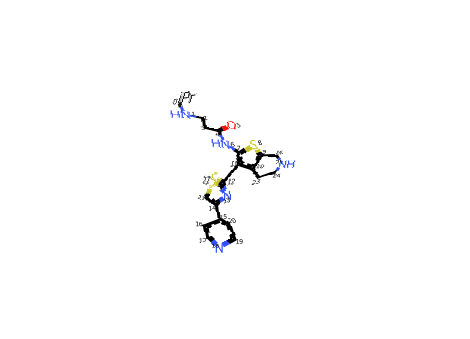 CC(C)NCCC(=O)Nc1sc2c(c1-c1nc(-c3ccncc3)cs1)CCNC2